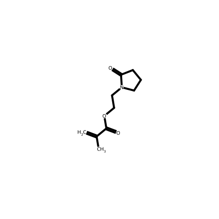 C=C(C)C(=O)OCCN1CCCC1=O